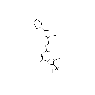 Cc1cc(CCc2nc(N3CCCC3)nn2C)nn2c(C)c(C(F)(F)F)nc12